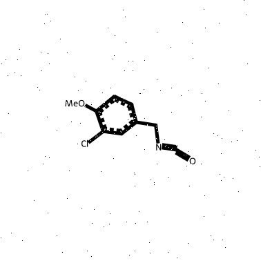 COc1ccc(CN=C=O)cc1Cl